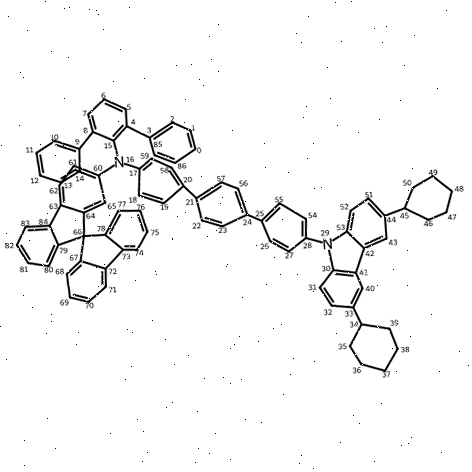 c1ccc(-c2cccc(-c3ccccc3)c2N(c2ccc(-c3ccc(-c4ccc(-n5c6ccc(C7CCCCC7)cc6c6cc(C7CCCCC7)ccc65)cc4)cc3)cc2)c2ccc3c(c2)C2(c4ccccc4-c4ccccc42)c2ccccc2-3)cc1